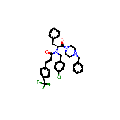 O=C([C@H](Cc1ccccc1)N(Cc1ccc(Cl)cc1)C(=O)/C=C/c1ccc(C(F)(F)F)cc1)N1CCN(Cc2ccccc2)CC1